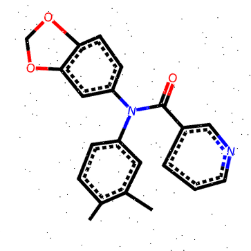 Cc1ccc(N(C(=O)c2cccnc2)c2ccc3c(c2)OCO3)cc1C